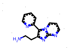 NCCc1nc2ncccn2c1-c1ccccn1